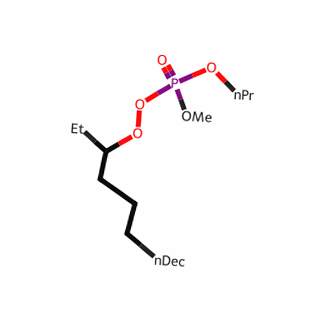 CCCCCCCCCCCCCC(CC)OOP(=O)(OC)OCCC